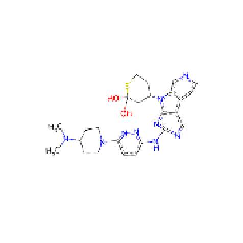 CN(C)C1CCN(c2ccc(Nc3ncc4c5ccncc5n(C5CCSC(O)(O)C5)c4n3)nn2)CC1